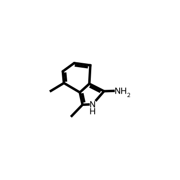 Cc1cccc2c(N)[nH]c(C)c12